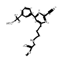 COC(=O)CNCCCc1cc(-c2cccc(C(F)(F)F)c2)nc(C#N)n1.Cl